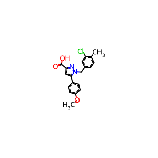 COc1ccc(-c2cc(C(=O)O)nn2Cc2ccc(C)c(Cl)c2)cc1